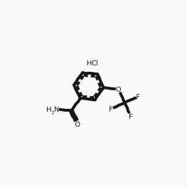 Cl.NC(=O)c1cccc(OC(F)(F)F)c1